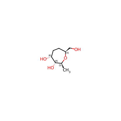 C[C@@H]1O[C@H](CO)CC[C@@H](O)[C@H]1O